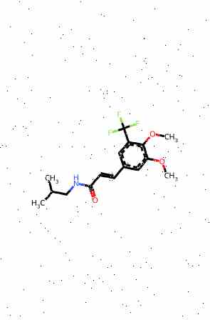 COc1cc(C=CC(=O)NCC(C)C)cc(C(F)(F)F)c1OC